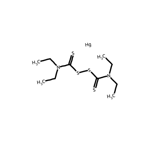 CCN(CC)C(=S)SSC(=S)N(CC)CC.[Hg]